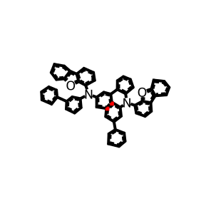 c1ccc(-c2cccc(N(c3cccc(-c4ccccc4N(c4cccc(-c5ccccc5)c4)c4cccc5c4oc4ccccc45)c3)c3cccc4c3oc3ccccc34)c2)cc1